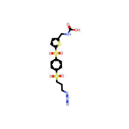 [N-]=[N+]=NCCCS(=O)(=O)c1ccc(S(=O)(=O)c2ccc(CNC(=O)O)s2)cc1